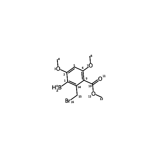 Bc1c(OC)cc(OC)c(C(=O)OC)c1CBr